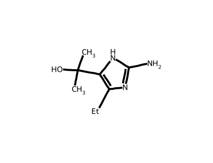 CCc1nc(N)[nH]c1C(C)(C)O